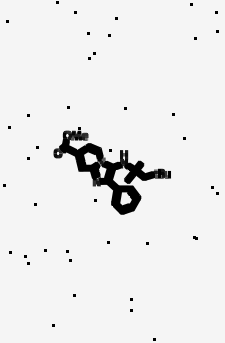 COC(=O)c1ccn2c(NC(C)(C)CC(C)(C)C)c(-c3ccccc3)nc2c1